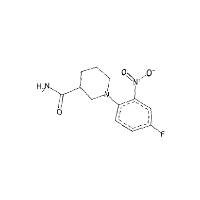 NC(=O)C1CCCN(c2ccc(F)cc2[N+](=O)[O-])C1